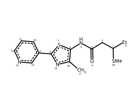 CCC(CC(=O)Nc1sc(-c2cccnc2)nc1C)SC